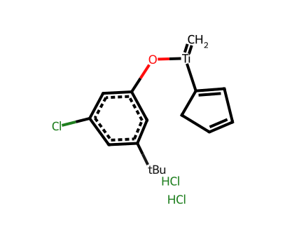 Cl.Cl.[CH2]=[Ti]([O]c1cc(Cl)cc(C(C)(C)C)c1)[C]1=CC=CC1